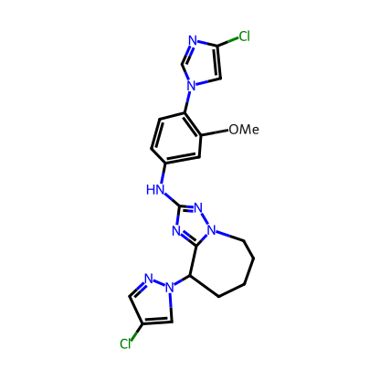 COc1cc(Nc2nc3n(n2)CCCCC3n2cc(Cl)cn2)ccc1-n1cnc(Cl)c1